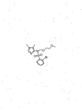 COCCOCN(c1nsc(C)c1C)S(=O)(=O)c1ccccc1Br